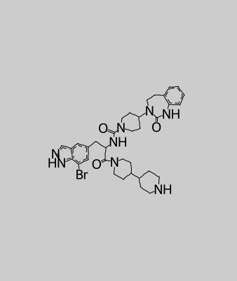 O=C(NC(Cc1cc(Br)c2[nH]ncc2c1)C(=O)N1CCC(C2CCNCC2)CC1)N1CCC(N2CCc3ccccc3NC2=O)CC1